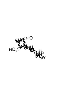 CC(C)C[C@@H](N)C(=O)NOCc1ccc(CNC(=O)CN2CCN(CC=O)CCN(CC=O)CCN(CC(=O)O)CC2)cc1